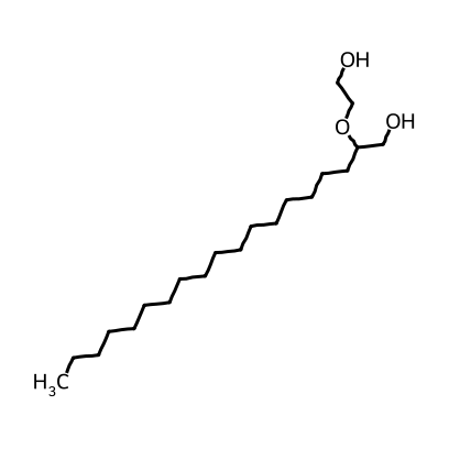 CCCCCCCCCCCCCCCCCC(CO)OCCO